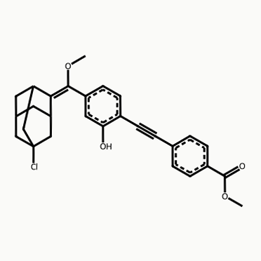 COC(=O)c1ccc(C#Cc2ccc(C(OC)=C3C4CC5CC3CC(Cl)(C5)C4)cc2O)cc1